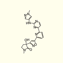 CN1CCC(O)(c2cc(-c3cccc(-c4ccnc(Nc5cnn(C)c5)n4)n3)on2)C1=O